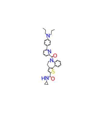 CCCN(CCC)c1ccc(-c2cccc(C(=O)N3CCc4cc(C(=O)NC5CC5)sc4-c4ccccc43)n2)cc1